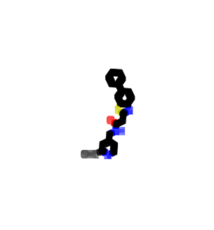 O=Cc1cc(CNC(=O)Cc2nc3ccc(-c4ccccc4)cc3s2)ccn1